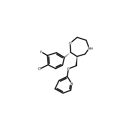 Fc1cc([C@@H]2OCCNC[C@H]2COc2ccccn2)ccc1Cl